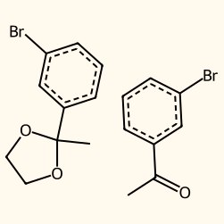 CC(=O)c1cccc(Br)c1.CC1(c2cccc(Br)c2)OCCO1